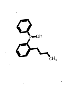 CCCCc1ccccc1P(O)c1ccccc1